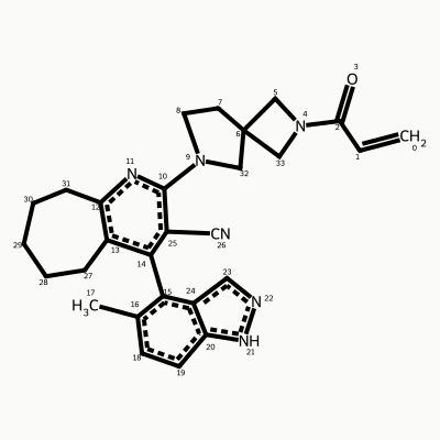 C=CC(=O)N1CC2(CCN(c3nc4c(c(-c5c(C)ccc6[nH]ncc56)c3C#N)CCCCC4)C2)C1